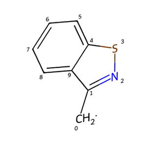 [CH2]c1nsc2ccccc12